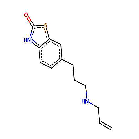 C=CCNCCCc1ccc2[nH]c(=O)sc2c1